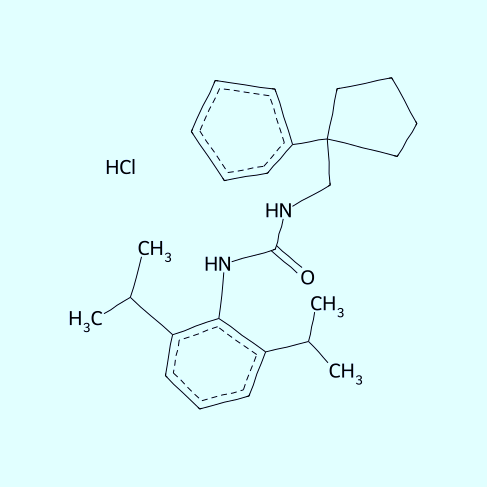 CC(C)c1cccc(C(C)C)c1NC(=O)NCC1(c2ccccc2)CCCC1.Cl